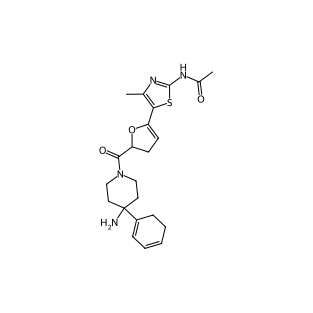 CC(=O)Nc1nc(C)c(C2=CCC(C(=O)N3CCC(N)(C4=CC=CCC4)CC3)O2)s1